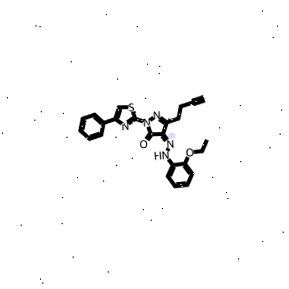 C#CCCC1=NN(c2nc(-c3ccccc3)cs2)C(=O)/C1=N\Nc1ccccc1OCC